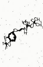 CC(C)(C)OC(=O)NCCOc1ccc(OC(F)(F)F)c(F)c1